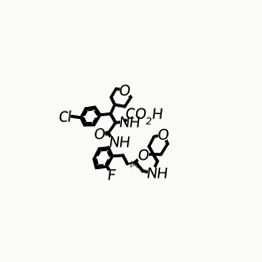 O=C(O)NC(C(=O)Nc1cccc(F)c1CC[C@@H]1CNCC2(CCOCC2)O1)C(c1ccc(Cl)cc1)C1CCOCC1